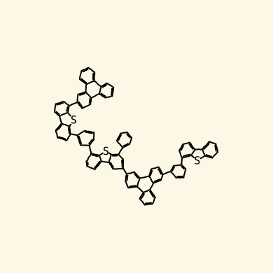 c1ccc(-c2cc(-c3ccc4c5ccccc5c5cc(-c6cccc(-c7cccc8c7sc7ccccc78)c6)ccc5c4c3)cc3c2sc2c(-c4cccc(-c5cccc6c5sc5c(-c7ccc8c9ccccc9c9ccccc9c8c7)cccc56)c4)cccc23)cc1